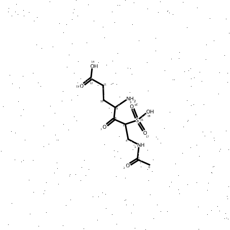 CC(=O)NCC(C(=O)C(N)CCC(=O)O)S(=O)(=O)O